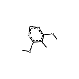 COc1n[c]nc(OC)c1I